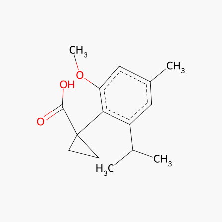 COc1cc(C)cc(C(C)C)c1C1(C(=O)O)CC1